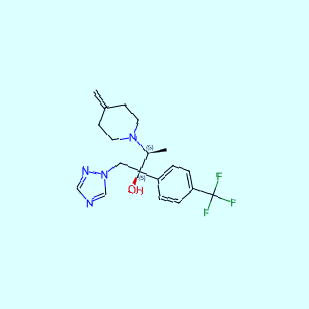 C=C1CCN([C@@H](C)[C@@](O)(Cn2cncn2)c2ccc(C(F)(F)F)cc2)CC1